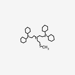 CSCCN(CCP(C1CCCCC1)C1CCCCC1)CCP(C1CCCCC1)C1CCCCC1